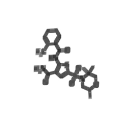 CC1CN(S(=O)(=O)c2cc(C(N)=O)c(NC(=O)c3ccccc3C(F)(F)F)s2)C(C)(C)CO1